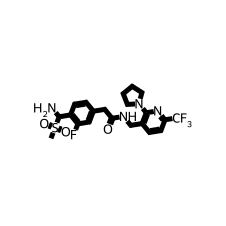 CS(=O)(=O)C(N)c1ccc(CC(=O)NCc2ccc(C(F)(F)F)nc2N2CCCC2)cc1F